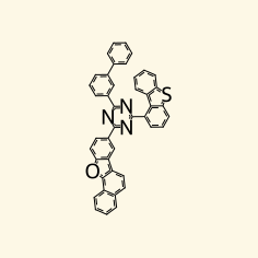 c1ccc(-c2cccc(-c3nc(-c4ccc5oc6c7ccccc7ccc6c5c4)nc(-c4cccc5sc6ccccc6c45)n3)c2)cc1